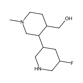 CN1CCC(CO)C(C2CNCC(F)C2)C1